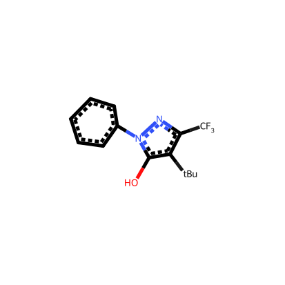 CC(C)(C)c1c(C(F)(F)F)nn(-c2ccccc2)c1O